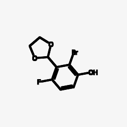 Oc1ccc(F)c(C2OCCO2)c1Br